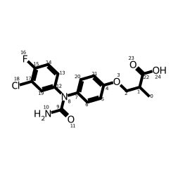 CC(COc1ccc(N(C(N)=O)c2ccc(F)c(Cl)c2)cc1)C(=O)O